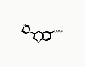 COc1ccc2c(c1)CC(n1ccnc1)CO2